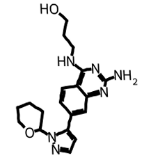 Nc1nc(NCCCO)c2ccc(-c3ccnn3C3CCCCO3)cc2n1